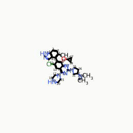 Cc1ccc2[nH]ncc2c1-c1c(Cl)cc2c(N3CCNCC3)nc(N3CCC(N(C)C)C3)nc2c1OC1CC1